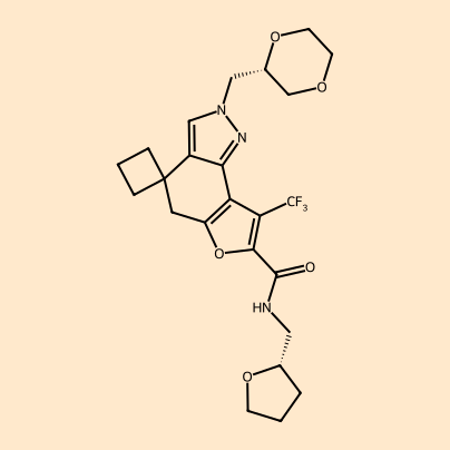 O=C(NC[C@@H]1CCCO1)c1oc2c(c1C(F)(F)F)-c1nn(C[C@H]3COCCO3)cc1C1(CCC1)C2